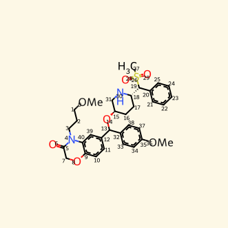 COCCCN1C(=O)COc2ccc(C(O[C@@H]3CC[C@@H](C(c4ccccc4)S(C)(=O)=O)NC3)c3ccc(OC)cc3)cc21